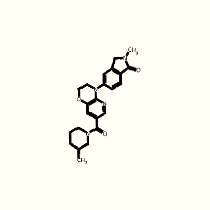 CC1CCCN(C(=O)c2cnc3c(c2)OCCN3c2ccc3c(c2)CN(C)C3=O)C1